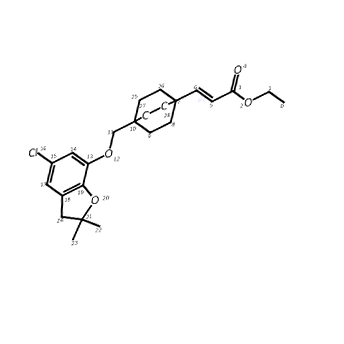 CCOC(=O)/C=C/C12CCC(COc3cc(Cl)cc4c3OC(C)(C)C4)(CC1)CC2